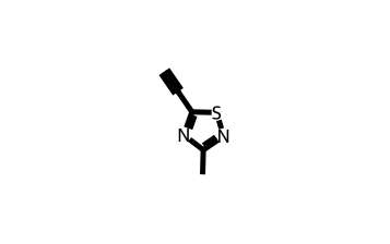 C#Cc1nc(C)ns1